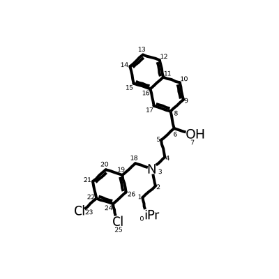 CC(C)CCN(CCC(O)c1ccc2ccccc2c1)Cc1ccc(Cl)c(Cl)c1